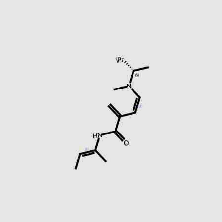 C=C(/C=C\N(C)[C@@H](C)C(C)C)C(=O)N/C(C)=C/C